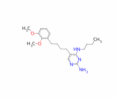 CCCCNc1nc(N)ncc1CCCCc1cccc(OC)c1OC